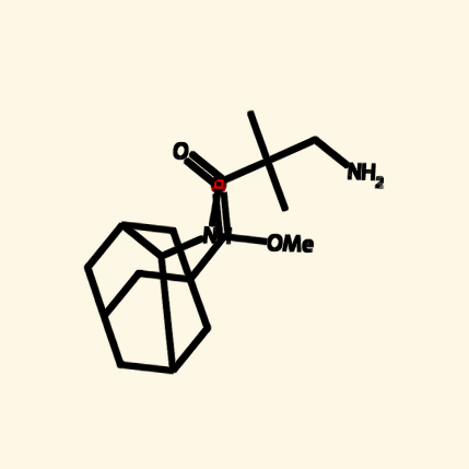 COC(=O)C12CC3CC(C1)C(NC(=O)C(C)(C)CN)C(C3)C2